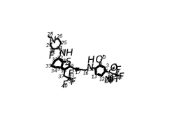 COc1cc(S(=N)(=O)C(F)(F)F)ccc1NCC#Cc1sc2c(N[C@@H]3CCN(C)C[C@H]3F)cccc2c1CC(F)(F)F